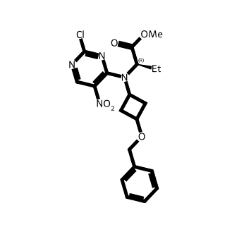 CC[C@H](C(=O)OC)N(c1nc(Cl)ncc1[N+](=O)[O-])C1CC(OCc2ccccc2)C1